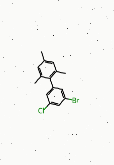 Cc1cc(C)c(-c2cc(Cl)cc(Br)c2)c(C)c1